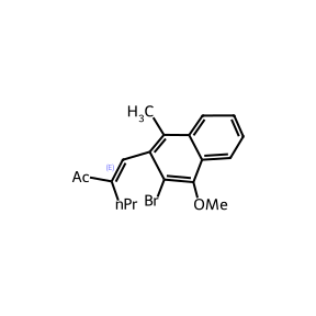 CCC/C(=C\c1c(Br)c(OC)c2ccccc2c1C)C(C)=O